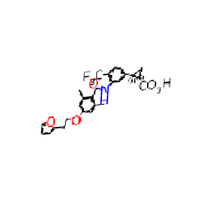 Cc1cc(OCCc2ccco2)cc(C)c1C(=O)Nc1cc([C@H]2C[C@H]2C(=O)O)ccc1C(F)(F)F